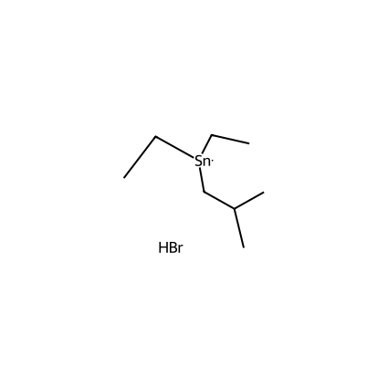 Br.C[CH2][Sn]([CH2]C)[CH2]C(C)C